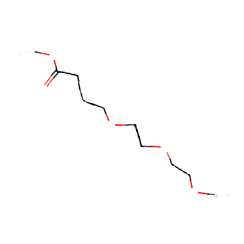 CCCCCCCCCCOC(=O)CCCOCCOCCOCCCC